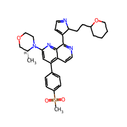 C[C@@H]1COCCN1c1cc(-c2ccc(S(C)(=O)=O)cc2)c2ccnc(C3=CC=NC3CCC3CCCCO3)c2n1